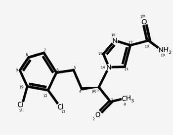 CC(=O)[C@@H](CCc1cccc(Cl)c1Cl)n1cnc(C(N)=O)c1